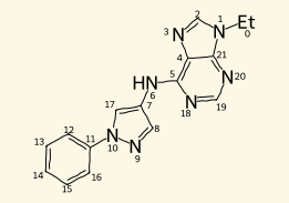 CCn1cnc2c(Nc3cnn(-c4ccccc4)c3)ncnc21